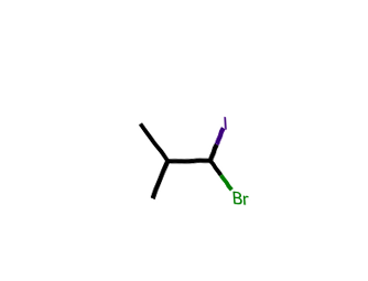 CC(C)C(Br)I